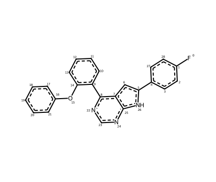 Fc1ccc(-c2cc3c(-c4ccccc4Oc4ccccc4)ncnc3[nH]2)cc1